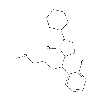 COCCOC(c1ccccc1Cl)C1CCN(C2CCCCC2)C1=O